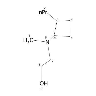 CCCC1CCC1N(C)CCO